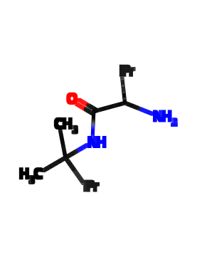 CC(C)C(N)C(=O)NC(C)(C)C(C)C